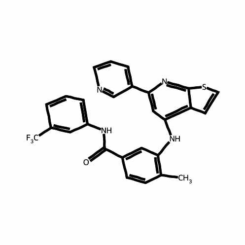 Cc1ccc(C(=O)Nc2cccc(C(F)(F)F)c2)cc1Nc1cc(-c2cccnc2)nc2sccc12